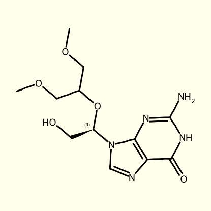 COCC(COC)O[C@H](CO)n1cnc2c(=O)[nH]c(N)nc21